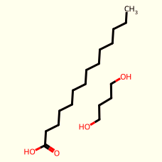 CCCCCCCCCCCCCC(=O)O.OCCCCO